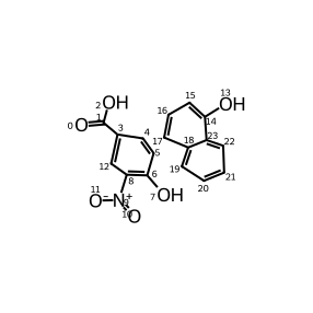 O=C(O)c1ccc(O)c([N+](=O)[O-])c1.Oc1cccc2ccccc12